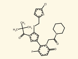 CC(C)(C)C(=O)n1nc(-c2c(F)ccc(=O)n2CC(=O)N2CCCCC2)cc1SCc1ccc(Cl)s1